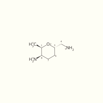 C[C@H]1O[C@H](CN)CC[C@H]1N